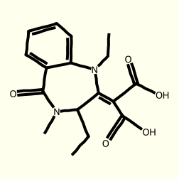 CCC1C(=C(C(=O)O)C(=O)O)N(CC)c2ccccc2C(=O)N1C